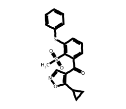 CS(=O)(=O)c1c(Sc2ccccc2)cccc1C(=O)c1cnoc1C1CC1